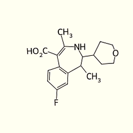 CC1=C(C(=O)O)c2ccc(F)cc2C(C)C(C2CCOCC2)N1